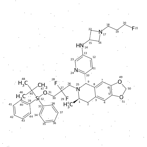 C[C@@H]1Cc2cc3c(cc2[C@@H](c2ccc(NC4CN(CCCF)C4)cn2)N1CC(F)(F)CO[Si](c1ccccc1)(c1ccccc1)C(C)(C)C)OCO3